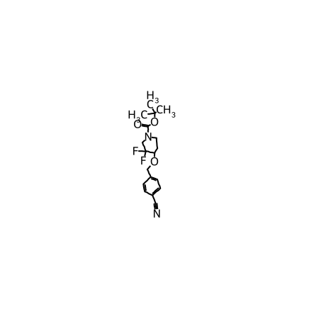 CC(C)(C)OC(=O)N1CCC(OCc2ccc(C#N)cc2)C(F)(F)C1